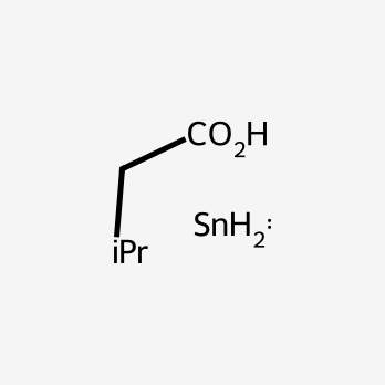 CC(C)CC(=O)O.[SnH2]